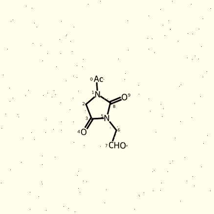 CC(=O)N1CC(=O)N(C[C]=O)C1=O